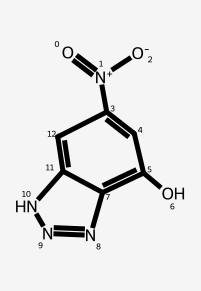 O=[N+]([O-])c1cc(O)c2nn[nH]c2c1